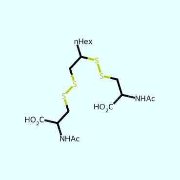 CCCCCCC(CSSCC(NC(C)=O)C(=O)O)SSCC(NC(C)=O)C(=O)O